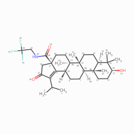 CC(C)C1=C2[C@H]3CC[C@@H]4[C@@]5(C)CC[C@H](O)C(C)(C)[C@@H]5CC[C@@]4(C)[C@]3(C)CC[C@@]2(C(=O)NCC(F)(F)F)CC1=O